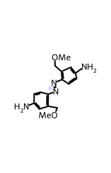 COCc1cc(N)ccc1/N=N/c1ccc(N)cc1COC